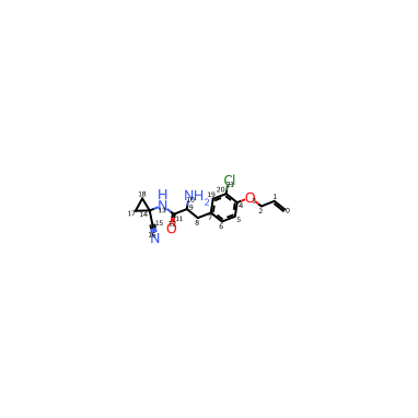 C=CCOc1ccc(CC(N)C(=O)NC2(C#N)CC2)cc1Cl